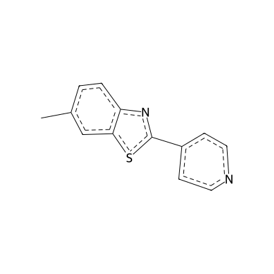 Cc1ccc2nc(-c3ccncc3)sc2c1